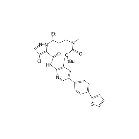 CCC(CCN(C)C(=O)OC(C)(C)C)n1ncc(Cl)c1C(=O)Nc1ncc(-c2ccc(-c3cccs3)cc2)cc1C